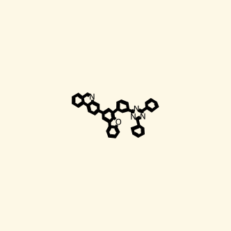 c1ccc(-c2nc(-c3ccccc3)nc(-c3cccc(-c4cc(-c5ccc6c(c5)ncc5ccccc56)cc5c4oc4ccccc45)c3)n2)cc1